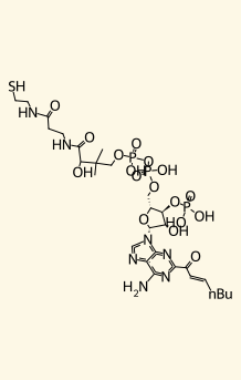 CCCCC=CC(=O)c1nc(N)c2ncn([C@@H]3O[C@H](COP(=O)(O)OP(=O)(O)OCC(C)(C)C(O)C(=O)NCCC(=O)NCCS)[C@@H](OP(=O)(O)O)[C@H]3O)c2n1